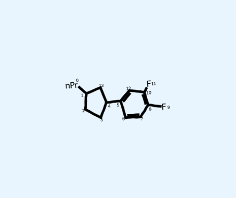 CCCC1CCC(c2ccc(F)c(F)c2)C1